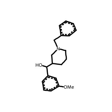 COc1cccc(C(O)C2CCCN(Cc3ccccc3)C2)c1